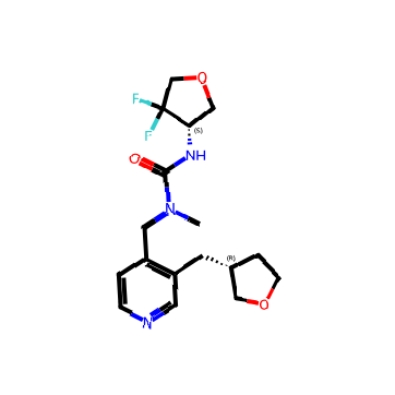 CN(Cc1ccncc1C[C@@H]1CCOC1)C(=O)N[C@H]1COCC1(F)F